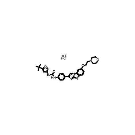 CC(C)(C)c1cc(NC(=O)Nc2ccc(-c3cn4c(n3)sc3ccc(OCCN5CCOCC5)cc34)cc2)no1.Cl.Cl